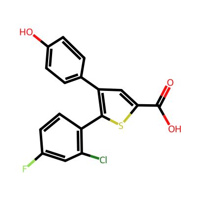 O=C(O)c1cc(-c2ccc(O)cc2)c(-c2ccc(F)cc2Cl)s1